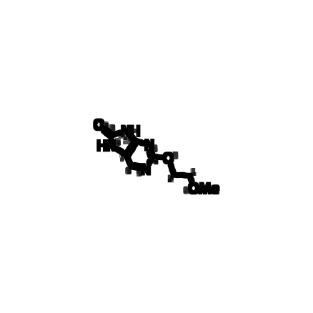 COCCOc1ncc2[nH]c(=O)[nH]c2n1